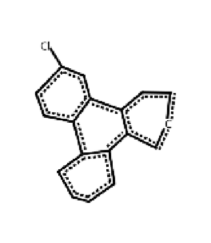 Clc1ccc2c3ccccc3c3ccccc3c2c1